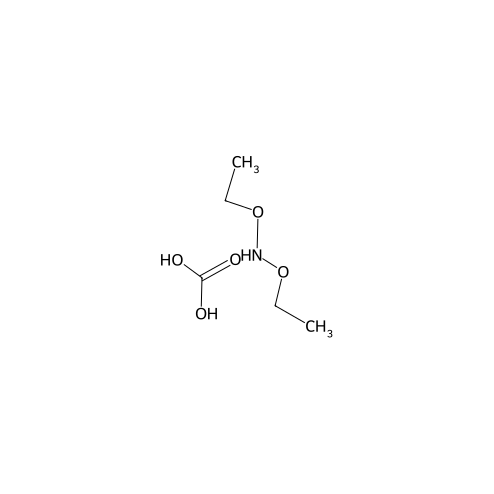 CCONOCC.O=C(O)O